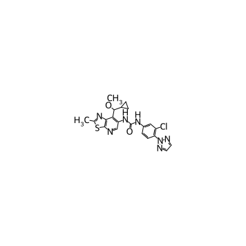 COC(c1c(NC(=O)Nc2ccc(-n3nccn3)c(Cl)c2)cnc2sc(C)nc12)C1CC1